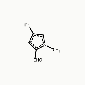 CC(C)c1cc(C=O)n(C)c1